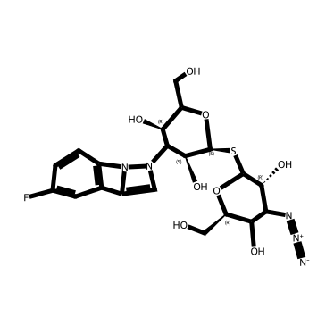 [N-]=[N+]=NC1C(O)[C@@H](CO)OC(S[C@@H]2OC(CO)[C@H](O)C(n3cc4n3-c3ccc(F)cc3-4)[C@@H]2O)[C@@H]1O